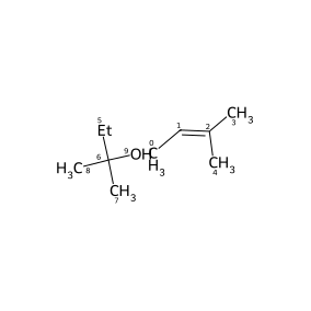 CC=C(C)C.CCC(C)(C)O